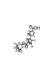 Cc1c(-c2ccc(C(=O)O)cn2)nc(C(=O)OC2CC(C)(C)N(C)C(C)(C)C2)n1C